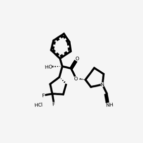 Cl.N=CN1CC[C@@H](OC(=O)[C@](O)(c2ccccc2)[C@@H]2CCC(F)(F)C2)C1